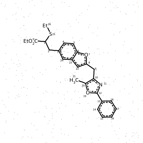 CCOC(=O)C(Cc1ccc2oc(Cc3nc(-c4ccccc4)oc3C)cc2c1)SCC